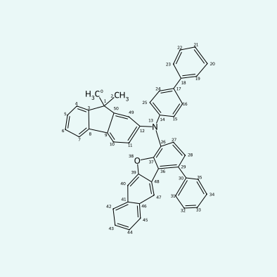 CC1(C)c2ccccc2-c2ccc(N(c3ccc(-c4ccccc4)cc3)c3ccc(-c4ccccc4)c4c3oc3cc5ccccc5cc34)cc21